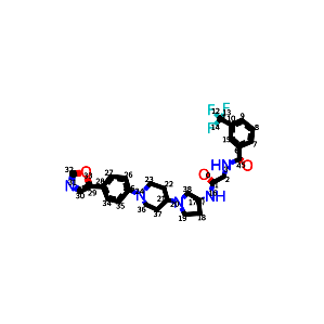 O=C(CNC(=O)c1cccc(C(F)(F)F)c1)N[C@@H]1CCN(C2CCN(c3ccc(-c4cnco4)cc3)CC2)C1